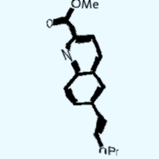 CCC/C=C/c1ccc2nc(C(=O)OC)ccc2c1